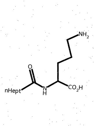 CCCCCCCC(=O)NC(CCCN)C(=O)O